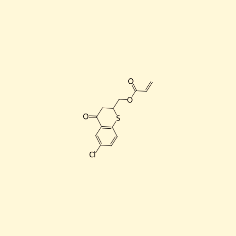 C=CC(=O)OCC1CC(=O)c2cc(Cl)ccc2S1